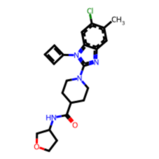 Cc1cc2nc(N3CCC(C(=O)NC4CCOC4)CC3)n(C3=CC=C3)c2cc1Cl